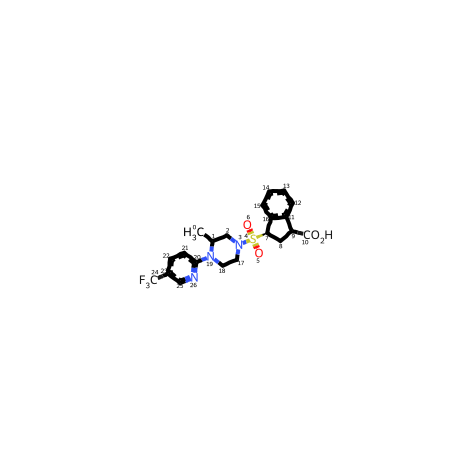 CC1CN(S(=O)(=O)[C@@H]2CC(C(=O)O)c3ccccc32)CCN1c1ccc(C(F)(F)F)cn1